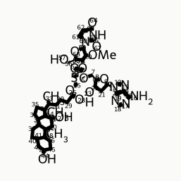 COC1C(OP(=O)(OC[C@H]2O[C@@H](n3cnc4c(N)ncnc43)CC2O)SCOC(=O)CCCC(C)C2CCC3C4CCC5CC(O)CCC5(C)C4CC(O)C23C)[C@@H](CO)O[C@H]1n1ccc(=O)[nH]c1=O